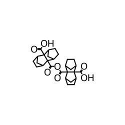 O=C(O)C12C3CCC(C3)C1(C(=O)OC(=O)C13C4CCC(C4)C1(C(=O)O)C1CCC3C1)C1CCC2C1